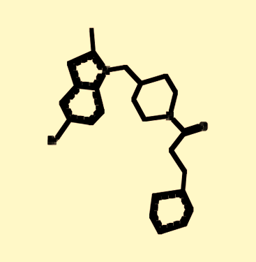 Cc1cc2cc(Br)ccc2n1CC1CCN(C(=O)CCc2ccccc2)CC1